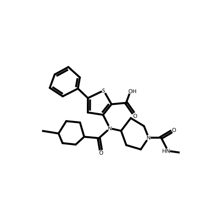 CNC(=O)N1CCC(N(C(=O)C2CCC(C)CC2)c2cc(-c3ccccc3)sc2C(=O)O)CC1